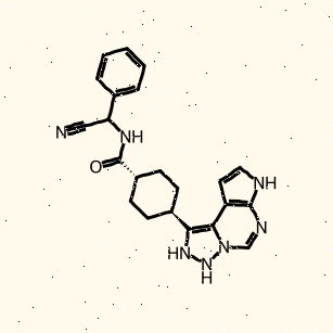 N#CC(NC(=O)[C@H]1CC[C@H](C2=C3c4cc[nH]c4N=CN3NN2)CC1)c1ccccc1